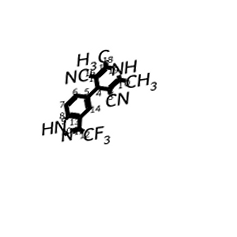 CC1=C(C#N)C(c2ccc3[nH]nc(C(F)(F)F)c3c2)C(C#N)=C(C)N1